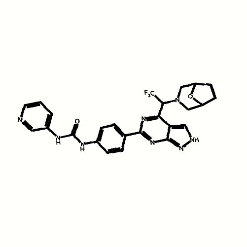 O=C(Nc1ccc(-c2nc(C(N3CC4CCC(C3)O4)C(F)(F)F)c3c[nH]nc3n2)cc1)Nc1cccnc1